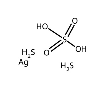 O=S(=O)(O)O.S.S.[Ag]